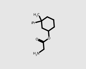 CC(C)C1(C)CCCC(OC(=O)CN)C1